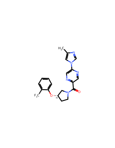 Cc1cn(-c2cnc(C(=O)N3CC[C@H](Oc4ccccc4C(F)(F)F)C3)cn2)cn1